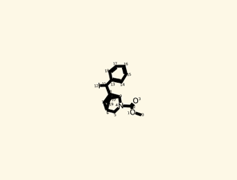 COC(=O)N1CC2C=CC1C(C(I)c1ccccc1)C2